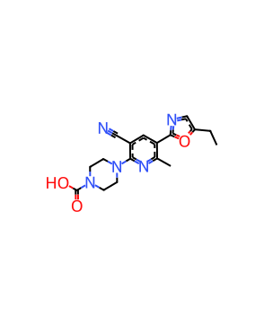 CCc1cnc(-c2cc(C#N)c(N3CCN(C(=O)O)CC3)nc2C)o1